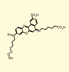 CCN(CCCSOOO)c1ccc2nc3c4cc(S(=O)(=O)O)ccc4/c(=N\CCCCCC(=O)O)cc-3oc2c1